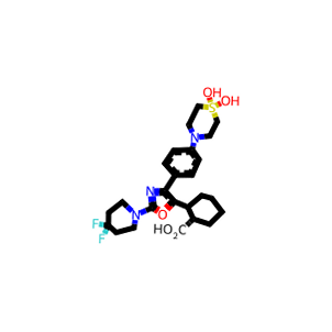 O=C(O)C1CCCCC1c1oc(N2CCC(F)(F)CC2)nc1-c1ccc(N2CCS(O)(O)CC2)cc1